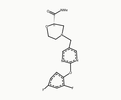 CNC(=O)[C@@H]1CN(Cc2cnc(Oc3ccc(F)cc3F)nc2)CCO1